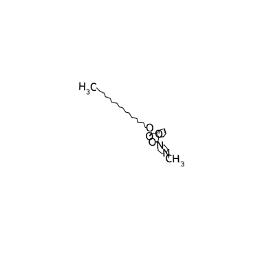 CCCCCCCCCCCCCCCCCOC(=O)C1C2C=CC(O2)C1C(=O)N1CCN(C)CC1